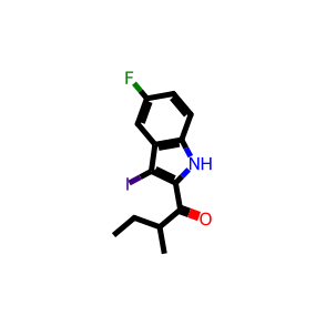 CCC(C)C(=O)c1[nH]c2ccc(F)cc2c1I